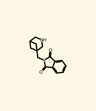 O=C1c2ccccc2C(=O)N1CC12CNCC(C1)C2